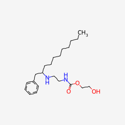 CCCCCCCCCC(Cc1ccccc1)NCCNC(=O)OCCO